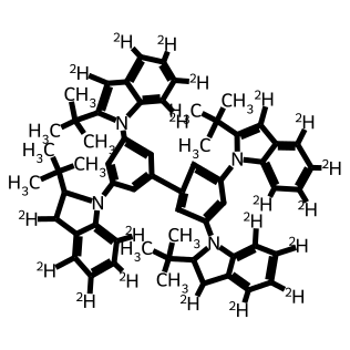 [2H]c1c([2H])c([2H])c2c(c1[2H])C([2H])C(C(C)(C)C)N2c1cc(-c2cc(N3c4c([2H])c([2H])c([2H])c([2H])c4C([2H])C3C(C)(C)C)cc(-n3c(C(C)(C)C)c([2H])c4c([2H])c([2H])c([2H])c([2H])c43)c2)cc(-n2c(C(C)(C)C)c([2H])c3c([2H])c([2H])c([2H])c([2H])c32)c1